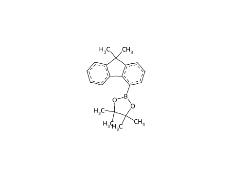 CC1(C)c2ccccc2-c2c(B3OC(C)(C)C(C)(C)O3)cccc21